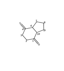 C=C1CCC(=C)C2CC[CH]C12